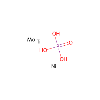 O=P(O)(O)O.[Mo].[Ni].[Ti]